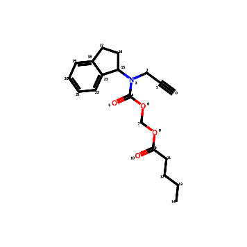 C#CCN(C(=O)OCOC(=O)CCCC)C1CCc2ccccc21